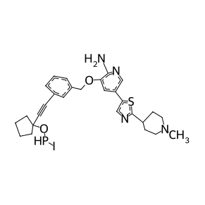 CN1CCC(c2ncc(-c3cnc(N)c(OCc4cccc(C#CC5(OPI)CCCC5)c4)c3)s2)CC1